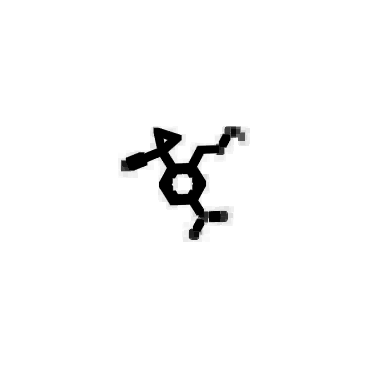 CSCc1cc([N+](=O)[O-])ccc1C1(C#N)CC1